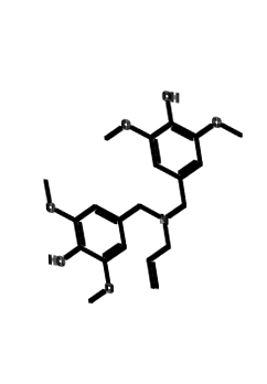 C=CCN(Cc1cc(OC)c(O)c(OC)c1)Cc1cc(OC)c(O)c(OC)c1